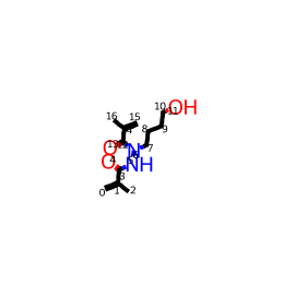 C=C(C)C(=O)NN(CCCCO)C(=O)C(=C)C